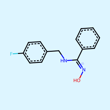 O/N=C(\NCc1ccc(F)cc1)c1ccccc1